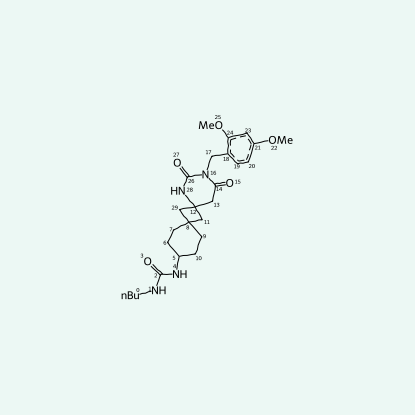 CCCCNC(=O)NC1CCC2(CC1)CC1(CC(=O)N(Cc3ccc(OC)cc3OC)C(=O)N1)C2